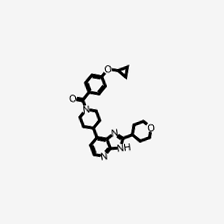 O=C(c1ccc(OC2CC2)cc1)N1CCC(c2ccnc3[nH]c(C4CCOCC4)nc23)CC1